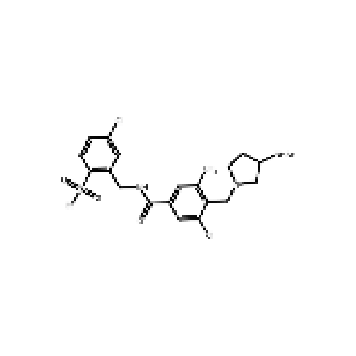 CCS(=O)(=O)c1ccc(Cl)cc1CNC(=O)c1cc(Cl)c(CN2CCC(NC(C)=O)C2)c(C(F)(F)F)c1